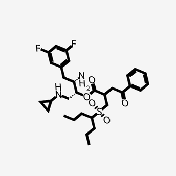 CCCC(CCC)S(=O)(=O)CC(CC(=O)c1ccccc1)C(=O)O[C@H](CNC1CC1)[C@@H](N)Cc1cc(F)cc(F)c1